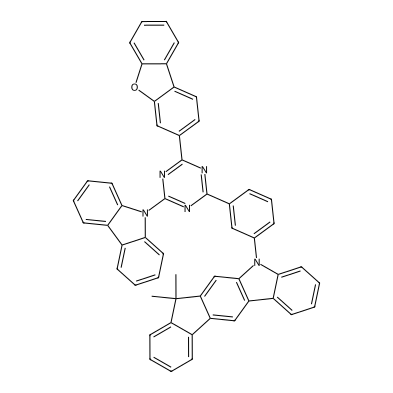 CC1(C)c2ccccc2-c2cc3c4ccccc4n(-c4cccc(-c5nc(-c6ccc7c(c6)oc6ccccc67)nc(-n6c7ccccc7c7ccccc76)n5)c4)c3cc21